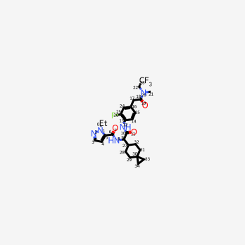 CCn1nccc1C(=O)NC(C(=O)Nc1ccc(CC(=O)N(C)CC(F)(F)F)cc1F)C1CCC2(CC1)CC2